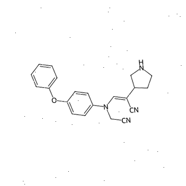 N#CCN(C=C(C#N)C1CCNC1)c1ccc(Oc2ccccc2)cc1